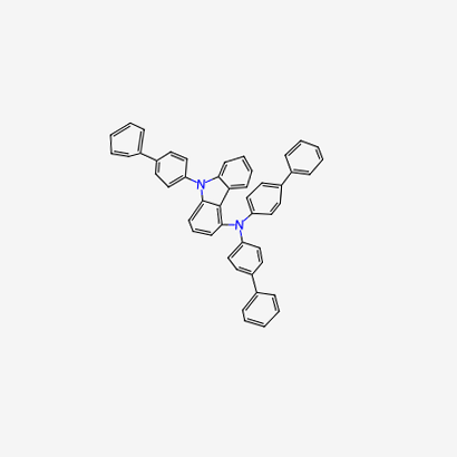 c1ccc(-c2ccc(N(c3ccc(-c4ccccc4)cc3)c3cccc4c3c3ccccc3n4-c3ccc(-c4ccccc4)cc3)cc2)cc1